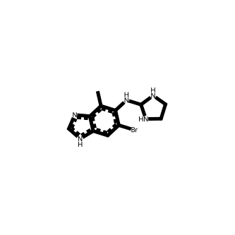 Cc1c(NC2NCCN2)c(Br)cc2[nH]cnc12